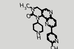 Cc1ccc(-c2ccc3ncc4c(c3n2)N(C2CCNCC2)C(=O)N(C)C4)cn1